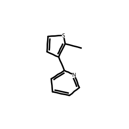 Cc1sccc1-c1ccccn1